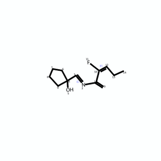 C=C(/N=C/C1(O)CCCC1)/C(F)=C\CC